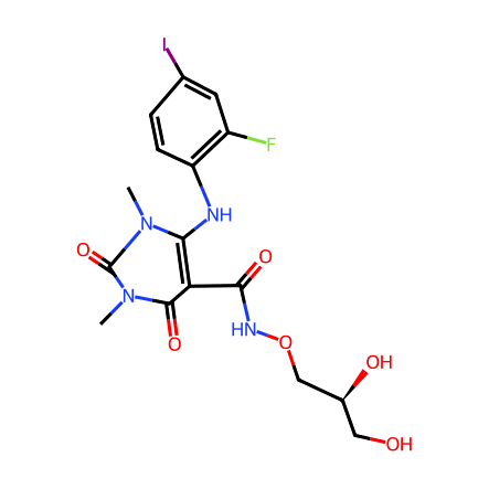 Cn1c(Nc2ccc(I)cc2F)c(C(=O)NOC[C@@H](O)CO)c(=O)n(C)c1=O